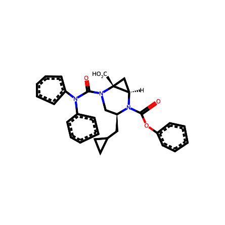 O=C(Oc1ccccc1)N1[C@@H](CC2CC2)CN(C(=O)N(c2ccccc2)c2ccccc2)[C@]2(C(=O)O)C[C@@H]12